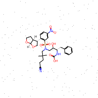 CC(C)(CCC#N)CN(C[C@@H](O)[C@H](Cc1ccccc1)NC(=O)O)S(=O)(=O)c1cc([N+](=O)[O-])ccc1[C@@H]1CO[C@H]2OCC[C@H]21